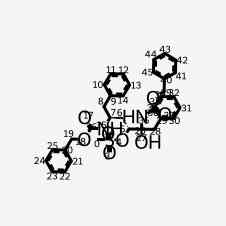 CS(=O)(=O)O[C@H](C[C@H](Cc1ccccc1)NC(=O)OCc1ccccc1)[C@@](O)(Cc1ccccc1)NC(=O)OCc1ccccc1